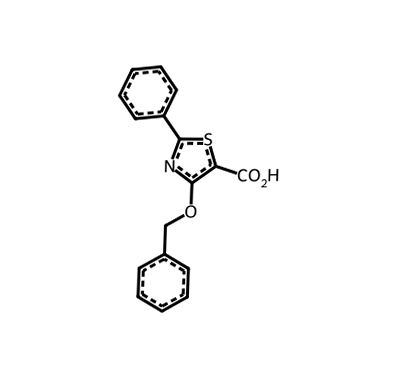 O=C(O)c1sc(-c2ccccc2)nc1OCc1ccccc1